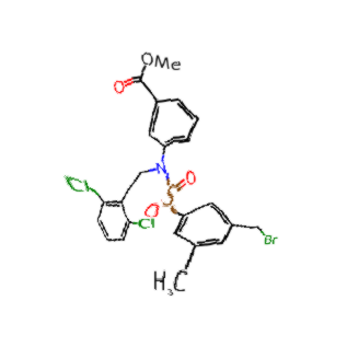 COC(=O)c1cccc(N(Cc2c(Cl)cccc2Cl)S(=O)(=O)c2cc(C)cc(CBr)c2)c1